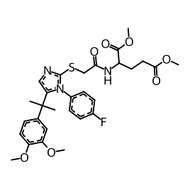 COC(=O)CCC(NC(=O)CSc1ncc(C(C)(C)c2ccc(OC)c(OC)c2)n1-c1ccc(F)cc1)C(=O)OC